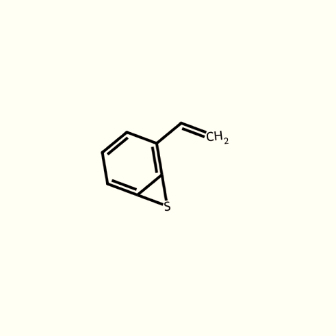 C=Cc1cccc2c1S2